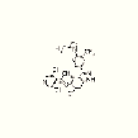 CC1CCN1c1ncc(-c2n[nH]c3cc(Cl)c(O[C@H](C)c4c(Cl)cncc4Cl)cc23)cc1C(F)(F)F